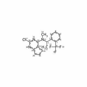 CC(c1ccccc1C(F)(F)F)N(C)c1nc(Cl)nc2ccsc12